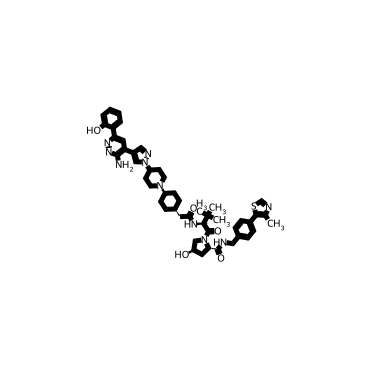 Cc1ncsc1-c1ccc(CNC(=O)[C@@H]2C[C@@H](O)CN2C(=O)[C@@H](NC(=O)C[C@H]2CC[C@H](N3CCC(n4cc(-c5cc(-c6ccccc6O)nnc5N)cn4)CC3)CC2)C(C)(C)C)cc1